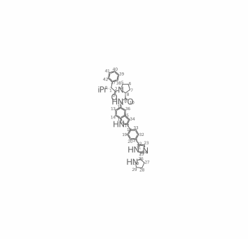 CC(C)[C@@H](C(=O)N1CCC[C@H]1C(=O)Nc1ccc2[nH]c(-c3ccc(-c4cnc([C@@H]5CCCN5)[nH]4)cc3)cc2c1)c1ccccc1